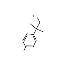 Cc1ccc(C(C)(C)CS)cc1